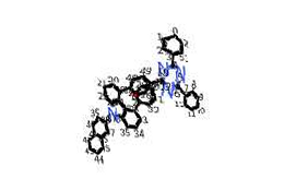 c1ccc(-c2nc(-c3ccccc3)nc(-c3ccc(-c4cccc5c4c4c(-c6ccccc6)cccc4n5-c4ccc5ccccc5c4)cc3)n2)cc1